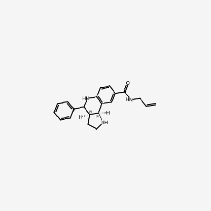 C=CCNC(=O)c1ccc2c(c1)[C@H]1NCC[C@H]1C(c1ccccc1)N2